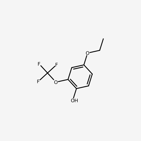 CCOc1ccc(O)c(OC(F)(F)F)c1